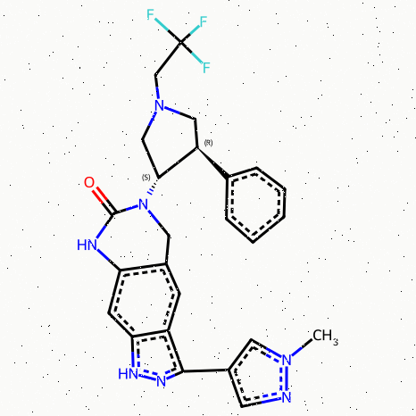 Cn1cc(-c2n[nH]c3cc4c(cc23)CN([C@@H]2CN(CC(F)(F)F)C[C@H]2c2ccccc2)C(=O)N4)cn1